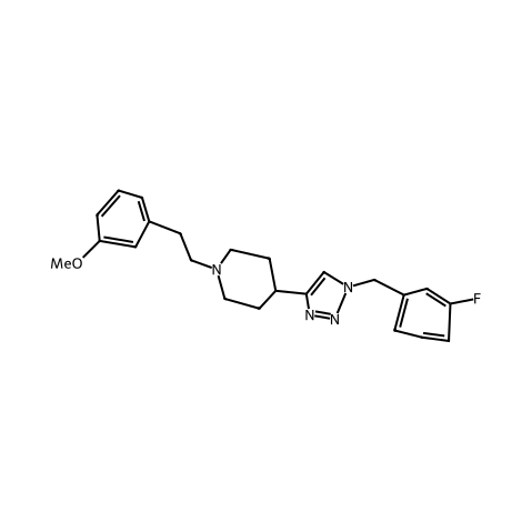 COc1cccc(CCN2CCC(c3cn(Cc4cccc(F)c4)nn3)CC2)c1